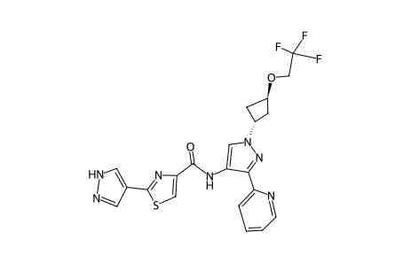 O=C(Nc1cn([C@H]2C[C@H](OCC(F)(F)F)C2)nc1-c1ccccn1)c1csc(-c2cn[nH]c2)n1